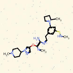 C=N/C(Oc1cnn(C2CCN(C)CC2)c1)=C(N)\N=C/Cc1cc(SNC)cc(N2CCCC2C)c1